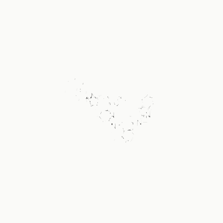 Cc1c(-c2ccc(N3CCc4cccc(C(=O)Nc5nc6ccccc6s5)c4C3)nc2C(=O)OC(C)(C)C)cnn1CC1(C)CCCCC1